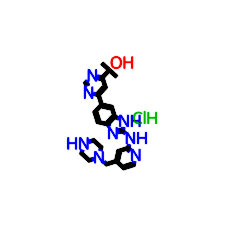 CC(C)(O)c1cc(-c2ccc3nc(Nc4cc(CN5CCNCC5)ccn4)[nH]c3c2)ncn1.Cl